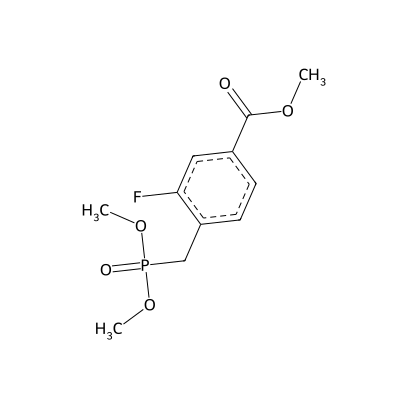 COC(=O)c1ccc(CP(=O)(OC)OC)c(F)c1